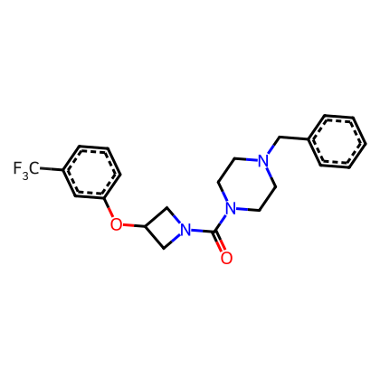 O=C(N1CCN(Cc2ccccc2)CC1)N1CC(Oc2cccc(C(F)(F)F)c2)C1